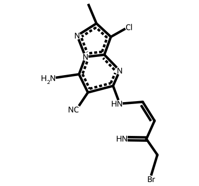 Cc1nn2c(N)c(C#N)c(N/C=C\C(=N)CBr)nc2c1Cl